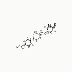 CCOc1ccc([C@H]2CC[C@H](CCc3ccc(F)nc3)CC2)cc1